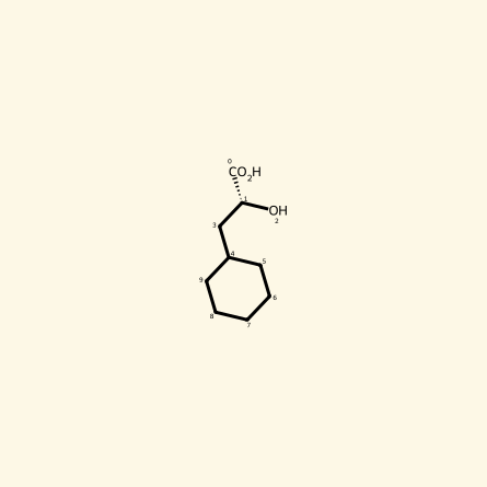 O=C(O)[C@H](O)CC1CCCCC1